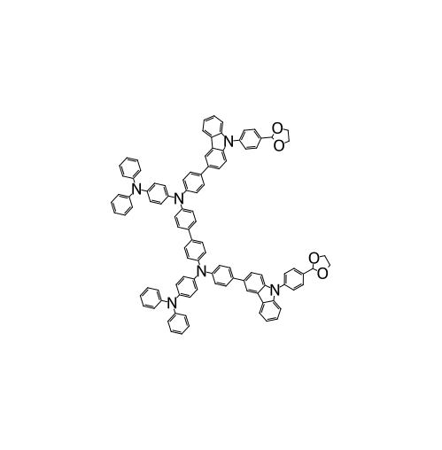 c1ccc(N(c2ccccc2)c2ccc(N(c3ccc(-c4ccc(N(c5ccc(-c6ccc7c(c6)c6ccccc6n7-c6ccc(C7OCCO7)cc6)cc5)c5ccc(N(c6ccccc6)c6ccccc6)cc5)cc4)cc3)c3ccc(-c4ccc5c(c4)c4ccccc4n5-c4ccc(C5OCCO5)cc4)cc3)cc2)cc1